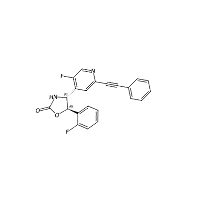 O=C1N[C@H](c2cc(C#Cc3ccccc3)ncc2F)[C@@H](c2ccccc2F)O1